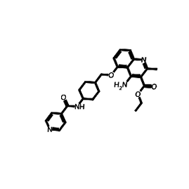 CCOC(=O)c1c(C)nc2cccc(OCC3CCC(NC(=O)c4ccncc4)CC3)c2c1N